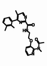 CC(=O)N(C)c1ncccc1OCCNC(=O)c1ncc(C)c(-c2cccc(C)c2C)n1